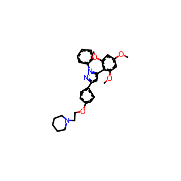 COc1cc(OC)c(-c2cc(-c3ccc(OCCN4CCCCC4)cc3)nn2-c2ccccc2)c(OC)c1